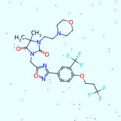 CC1(C)C(=O)N(Cc2nc(-c3ccc(OCCC(F)(F)F)c(C(F)(F)F)c3)no2)C(=O)N1CCN1CCOCC1